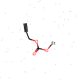 C#CCOC(=O)OCC